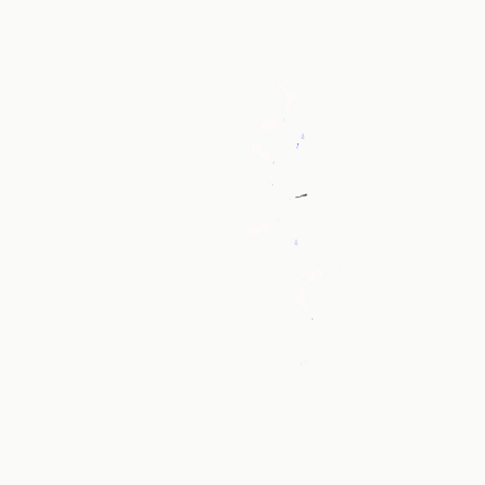 CC[C@H](C)[C@H](NC(=O)OCC1c2ccccc2-c2ccccc21)C(=O)N(C)[C@H](C(=O)NCC(=O)OC(c1ccccc1)(c1ccc(C2CCCCCCCC2)cc1)c1ccccc1Cl)C(C)C